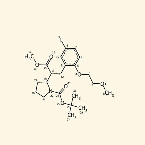 COCCOc1ccc(I)cc1C[C@@H](C(=O)OC)[C@H]1CCCN1C(=O)OC(C)(C)C